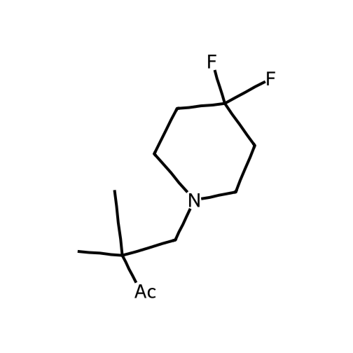 CC(=O)C(C)(C)CN1CCC(F)(F)CC1